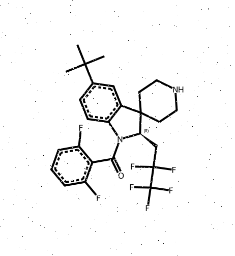 CC(C)(C)c1ccc2c(c1)C1(CCNCC1)[C@@H](CC(F)(F)C(F)(F)F)N2C(=O)c1c(F)cccc1F